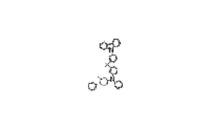 CC1CC(N(c2ccccc2)c2ccc3c(c2)C(C)(C)c2cc(-n4c5ccccc5c5ccccc54)ccc2-3)=CCC1c1ccccc1